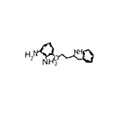 Nc1cccc(OCCC(N)Cc2ccccc2)c1N